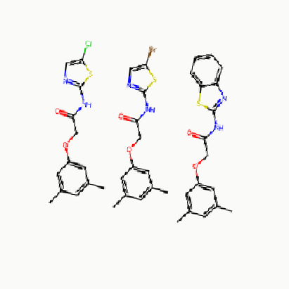 Cc1cc(C)cc(OCC(=O)Nc2nc3ccccc3s2)c1.Cc1cc(C)cc(OCC(=O)Nc2ncc(Br)s2)c1.Cc1cc(C)cc(OCC(=O)Nc2ncc(Cl)s2)c1